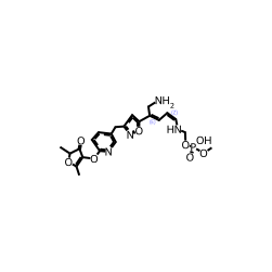 COP(=O)(O)OCN/C=C\C=C(/CN)c1cc(Cc2ccc(OC3=C(C)OC(C)C3=O)nc2)no1